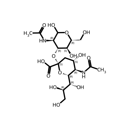 CC(=O)N[C@H]1[C@H]([C@H](O)[C@H](O)CO)O[C@@](O[C@H]2[C@H](O)[C@@H](CO)OC(O)[C@@H]2NC(C)=O)(C(=O)O)C[C@@H]1O